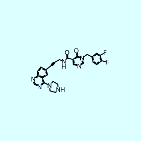 O=C(NCC#Cc1ccc2ncnc(N3CCNCC3)c2c1)c1cncn(Cc2ccc(F)c(F)c2)c1=O